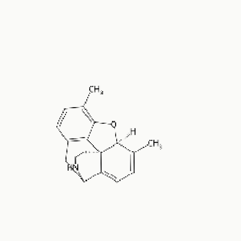 CC1=CC=C2C3Cc4ccc(C)c5c4[C@@]2(CCN3)[C@H]1O5